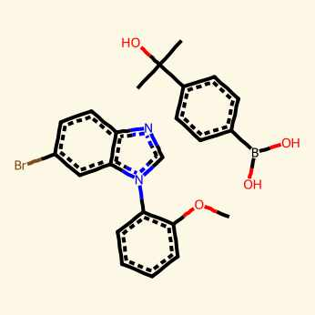 CC(C)(O)c1ccc(B(O)O)cc1.COc1ccccc1-n1cnc2ccc(Br)cc21